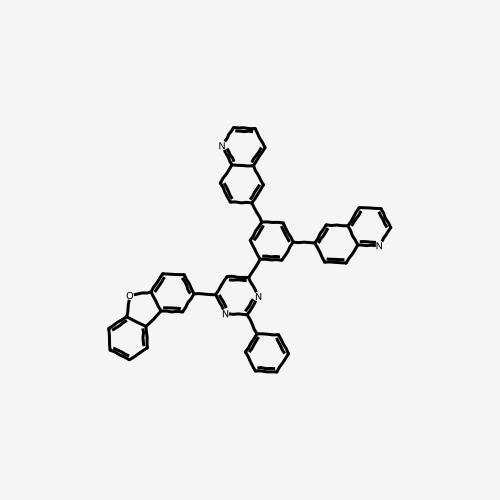 c1ccc(-c2nc(-c3cc(-c4ccc5ncccc5c4)cc(-c4ccc5ncccc5c4)c3)cc(-c3ccc4oc5ccccc5c4c3)n2)cc1